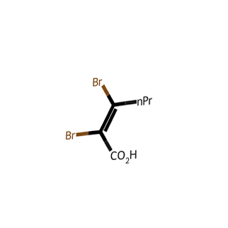 CCC/C(Br)=C(/Br)C(=O)O